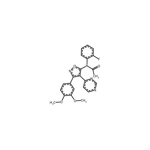 COc1ccc(-c2noc(N(C(C)=O)c3ccccc3F)c2-c2ccncn2)cc1OC